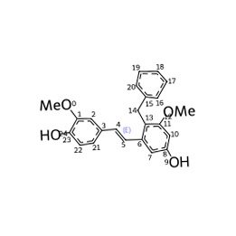 COc1cc(/C=C/c2cc(O)cc(OC)c2Cc2ccccc2)ccc1O